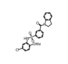 COc1ccc(Cl)cc1NS(=O)(=O)c1cccc(C(=O)N2CCc3ccccc32)c1